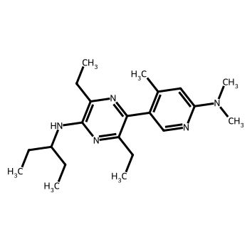 CCc1nc(-c2cnc(N(C)C)cc2C)c(CC)nc1NC(CC)CC